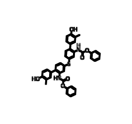 Cc1cc(-c2ccc(Sc3ccc(-c4ccc(O)c(C)c4)c(NC(=O)Oc4ccccc4)c3)cc2NC(=O)Oc2ccccc2)ccc1O